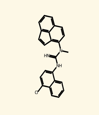 CN(C(=N)Nc1ccc(Cl)c2ccccc12)c1ccc2cccc3c2c1C=C3